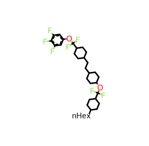 CCCCCCC1CCC(C(F)(F)OC2CCC(CCC3CCC(C(F)(F)Oc4cc(F)c(F)c(F)c4)CC3)CC2)CC1